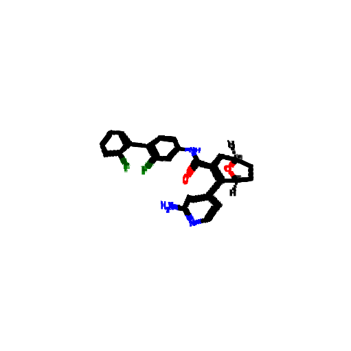 Nc1cc(C2=C(C(=O)Nc3ccc(-c4ccccc4F)c(F)c3)C[C@H]3CC[C@@H]2O3)ccn1